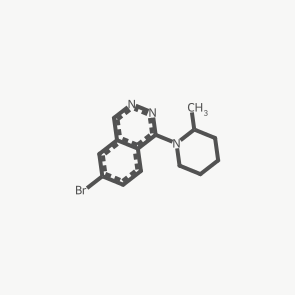 CC1CCCCN1c1nncc2cc(Br)ccc12